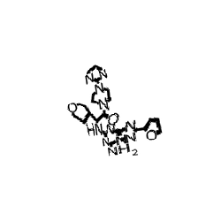 Nc1nc(N[C@H](C(=O)N2CCN(c3ncccn3)CC2)C2CCOCC2)nc2nc(-c3ccco3)nn12